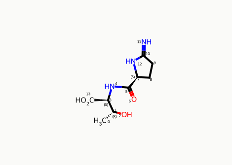 C[C@@H](O)[C@H](NC(=O)[C@@H]1CCC(=N)N1)C(=O)O